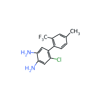 Cc1ccc(-c2cc(N)c(N)cc2Cl)c(C(F)(F)F)c1